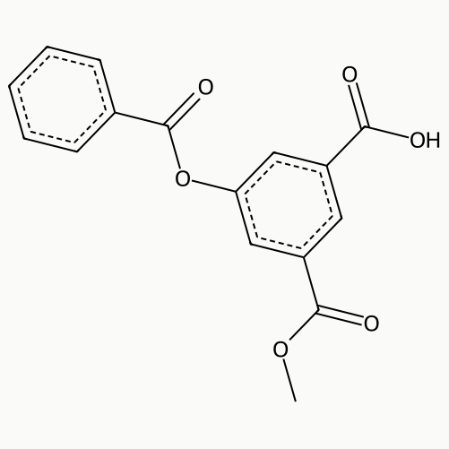 COC(=O)c1cc(OC(=O)c2ccccc2)cc(C(=O)O)c1